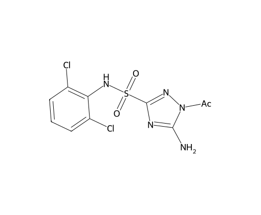 CC(=O)n1nc(S(=O)(=O)Nc2c(Cl)cccc2Cl)nc1N